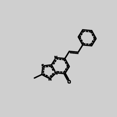 Cc1nn2c(=O)cc(/C=C/c3ccccc3)nc2s1